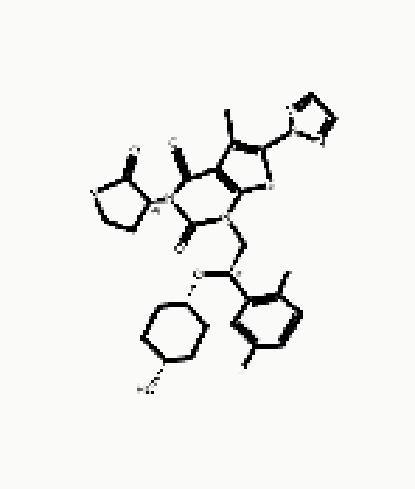 Cc1ccc(F)cc1[C@H](Cn1c(=O)n([C@H]2CCNC2=O)c(=O)c2c(C)c(-n3nccn3)sc21)O[C@H]1CC[C@@H](O)CC1